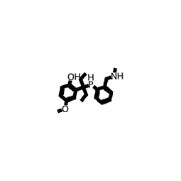 CCC(CC)(Pc1ccccc1CNC)c1cc(OC)ccc1O